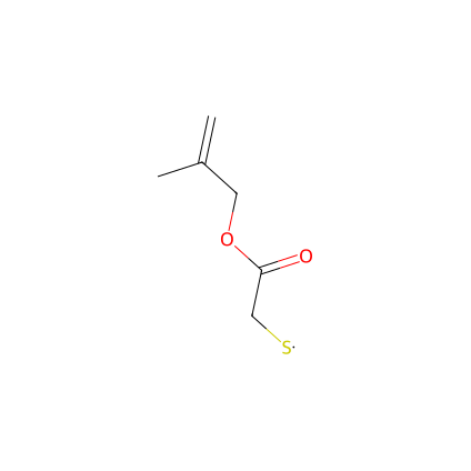 C=C(C)COC(=O)C[S]